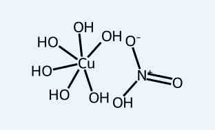 O=[N+]([O-])O.[OH][Cu]([OH])([OH])([OH])([OH])[OH]